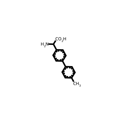 Cc1ccc(-c2ccc(C(N)C(=O)O)cc2)cc1